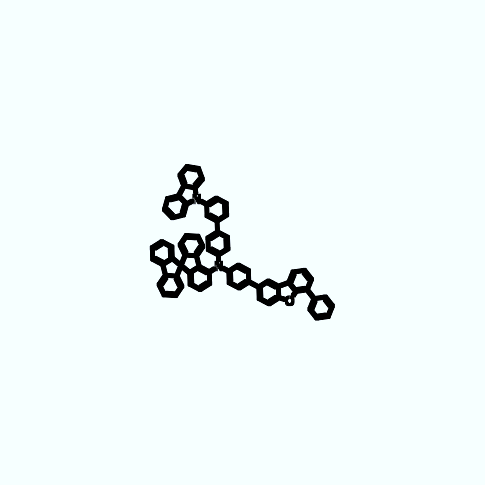 c1ccc(-c2cccc3c2oc2ccc(-c4ccc(N(c5ccc(-c6cccc(-n7c8ccccc8c8ccccc87)c6)cc5)c5cccc6c5-c5ccccc5C65c6ccccc6-c6ccccc65)cc4)cc23)cc1